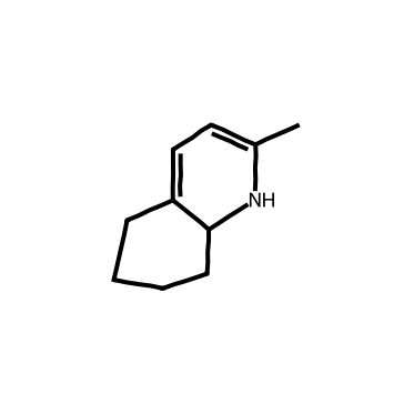 CC1=CC=C2CCCCC2N1